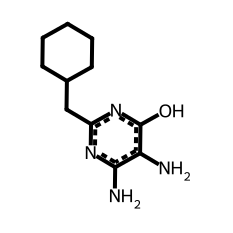 Nc1nc(CC2CCCCC2)nc(O)c1N